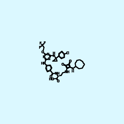 O=C(N[C@@H](CCNc1c(NC2CCCCCCC2)c(=O)c1=O)C(=O)O)c1ccc(Nc2nc(NC3(c4ccc(Cl)cc4)CC3)nc(OCC(F)(F)F)n2)cc1